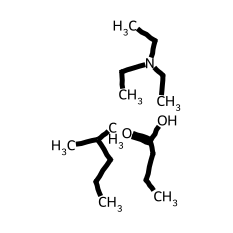 CCCC(=O)O.CCCC(C)C.CCN(CC)CC